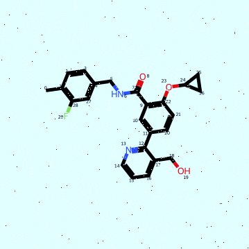 Cc1ccc(CNC(=O)c2cc(-c3ncccc3CO)ccc2OC2CC2)cc1F